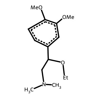 CCOC(CN(C)C)c1ccc(OC)c(OC)c1